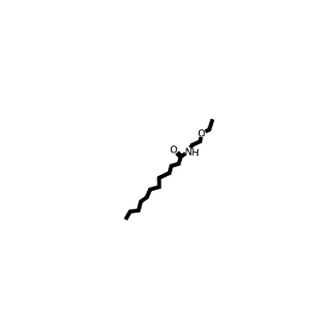 CCCCCCCCCCCC(=O)NCCOCC